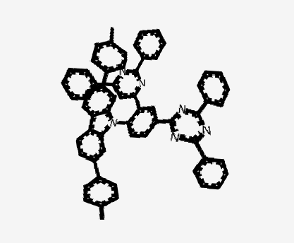 Cc1ccc(-c2ccc3c4ccc(-c5ccc(C)cc5)cc4n(-c4ccc(-c5nc(-c6ccccc6)nc(-c6ccccc6)n5)cc4-c4cc(-c5ccccc5)nc(-c5ccccc5)n4)c3c2)cc1